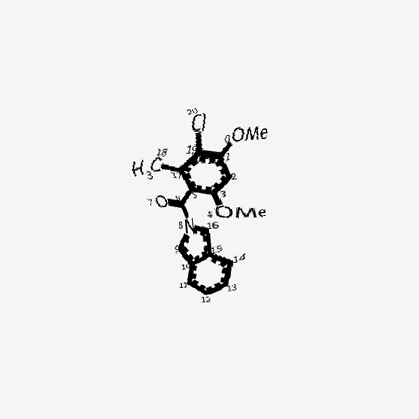 COc1cc(OC)c(C(=O)n2cc3ccccc3c2)c(C)c1Cl